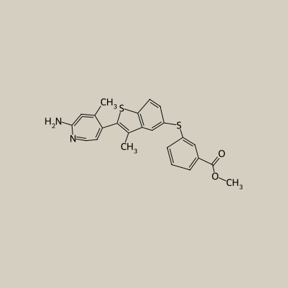 COC(=O)c1cccc(Sc2ccc3sc(C4=CC=NC(N)=C=C4C)c(C)c3c2)c1